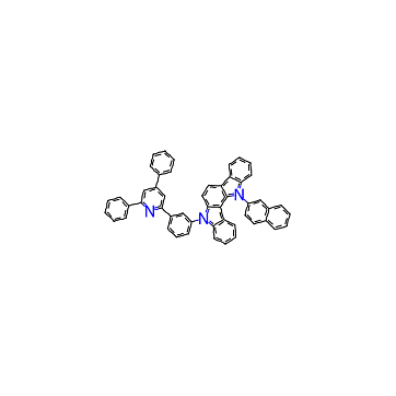 c1ccc(-c2cc(-c3ccccc3)nc(-c3cccc(-n4c5ccccc5c5c4ccc4c6ccccc6n(-c6ccc7ccccc7c6)c45)c3)c2)cc1